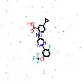 O=C(O)c1cc(C2CC2)ccc1Nc1cnc(-c2cc(OC(F)(F)F)ccc2F)nc1